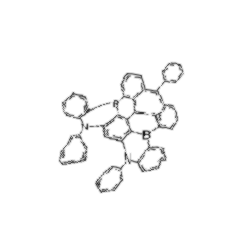 c1ccc(-c2c3cccc4c3c3c5c(cccc25)B2c5ccccc5N(c5ccccc5)c5cc6c(c-3c52)B4c2ccccc2N6c2ccccc2)cc1